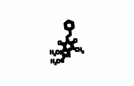 CSc1nc2c(c(=O)n(CCc3ccccc3)c(=O)n2C)n1C